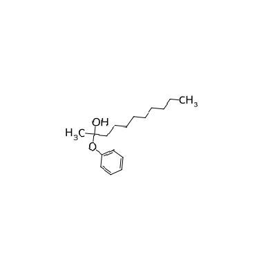 CCCCCCCCCC(C)(O)Oc1ccccc1